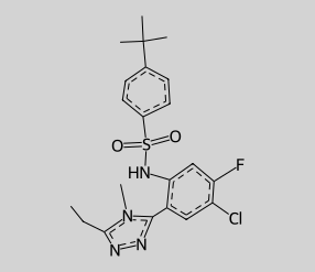 CCc1nnc(-c2cc(Cl)c(F)cc2NS(=O)(=O)c2ccc(C(C)(C)C)cc2)n1C